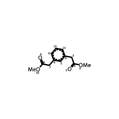 COC(=O)Cc1[c]c(CC(=O)OC)ccc1